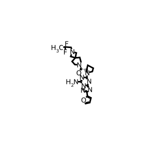 CC(F)(F)CN1CC2(CCN(C(=O)[C@@H]3CCCN3c3nc(N)n4nc(-c5ccco5)nc4n3)CC2)C1